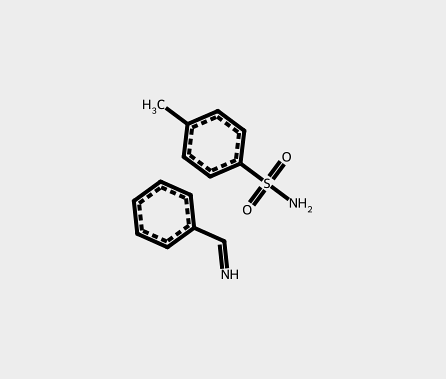 Cc1ccc(S(N)(=O)=O)cc1.N=Cc1ccccc1